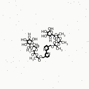 CC(OC(=O)C(C)OC(=O)C(C)OC(=O)C1O[C@@H](O)[C@H](O)[C@@H](O)[C@@H]1O)C(=O)OCc1ccnc(-c2cc(COC(=O)C(C)OC(=O)C(C)OC(=O)C(C)OC(=O)[C@@H]3O[C@H](O)[C@@H](O)[C@H](O)[C@H]3O)ccn2)c1